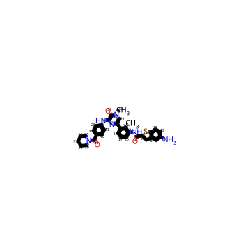 Cc1c(NC(=O)C2Cc3cc(N)ccc3S2)cccc1-c1cn(C)c(=O)c(Nc2ccc(C(=O)N3CCCCC3)cc2)n1